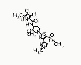 CCOC(=O)c1sc(N2CC[C@@H](NC(=O)c3[nH]c(C)c(Cl)c3Cl)[C@@H](OC)C2)nc1-c1ccn(C)n1